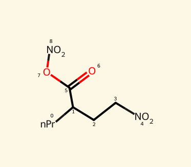 CCCC(CC[N+](=O)[O-])C(=O)O[N+](=O)[O-]